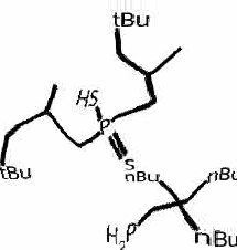 CC(CC(C)(C)C)CP(=S)(S)CC(C)CC(C)(C)C.CCCCC(P)(CCCC)CCCC